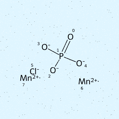 O=P([O-])([O-])[O-].[Cl-].[Mn+2].[Mn+2]